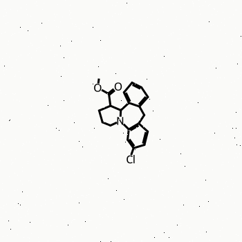 COC(=O)C1CCCN2c3cc(Cl)ccc3Cc3ccccc3C12